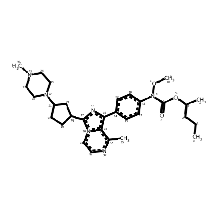 CCCC(C)OC(=O)N(OC)c1ccc(-c2nc(C3CCC(N4CCN(C)CC4)C3)n3ccnc(C)c23)cc1